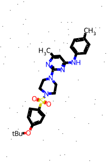 Cc1ccc(Nc2cc(C)nc(N3CCN(S(=O)(=O)c4ccc(OC(C)(C)C)cc4)CC3)n2)cc1